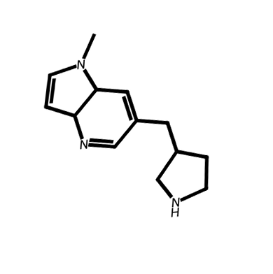 CN1C=CC2N=CC(CC3CCNC3)=CC21